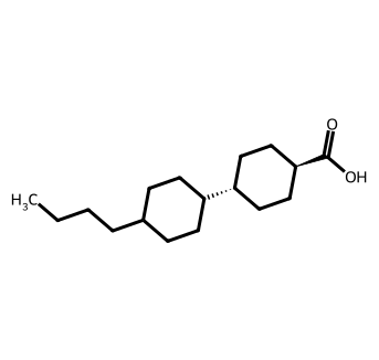 CCCCC1CCC([C@H]2CC[C@H](C(=O)O)CC2)CC1